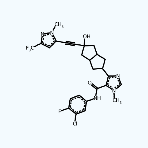 Cn1cnc(C2CC3CC(O)(C#Cc4cc(C(F)(F)F)nn4C)CC3C2)c1C(=O)Nc1ccc(F)c(Cl)c1